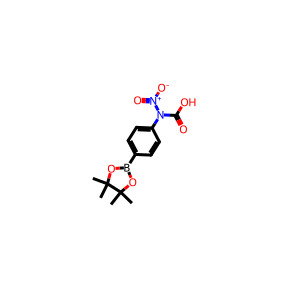 CC1(C)OB(c2ccc(N(C(=O)O)[N+](=O)[O-])cc2)OC1(C)C